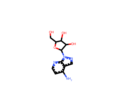 Nc1ccnc2c1cnn2C1OC(CO)C(O)C1O